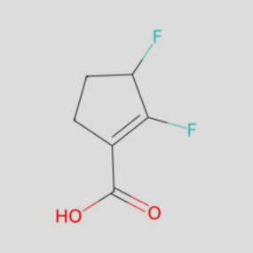 O=C(O)C1=C(F)C(F)CC1